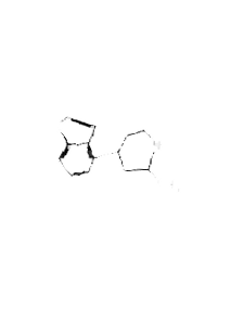 CC1CC(c2cccc3occc23)CCN1